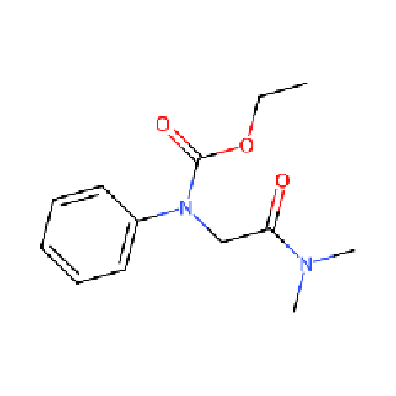 CCOC(=O)N(CC(=O)N(C)C)c1ccccc1